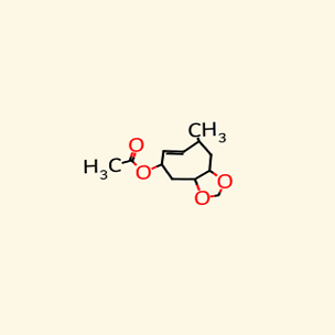 CC(=O)OC1/C=C/C(C)CC2OCOC2C1